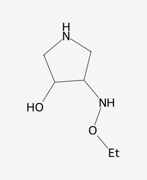 CCONC1CNCC1O